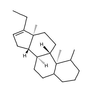 CCC1=CC[C@H]2[C@@H]3CCC4CCCC(C)[C@]4(C)[C@H]3CC[C@]12C